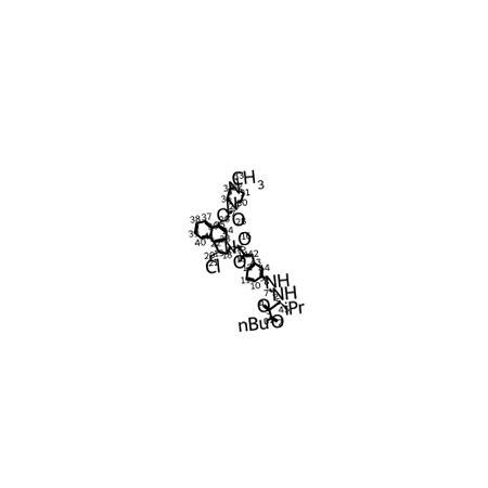 CCCCC(=O)C(=O)[C@@H](NCNc1ccc2oc(C(=O)N3C[C@@H](CCl)c4c3cc(OC(=O)N3CCN(C)CC3)c3ccccc43)cc2c1)C(C)C